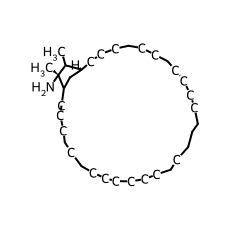 CC1[C@H]2CCCCCCCCCCCCCCCCCCCCCCCCCCCCC(C2)[C@]1(C)N